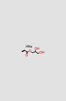 C=CC(=O)OCC(O)CO.[NaH]